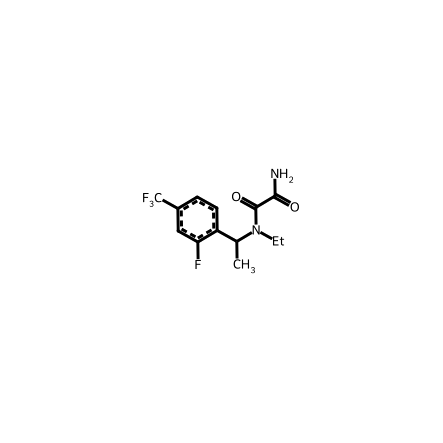 CCN(C(=O)C(N)=O)C(C)c1ccc(C(F)(F)F)cc1F